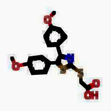 COc1ccc(-c2nc(SCC(=O)O)sc2-c2ccc(OC)cc2)cc1